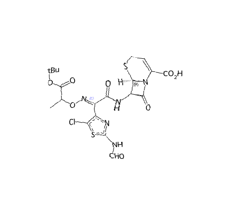 CC(O/N=C(/C(=O)NC1C(=O)N2C(C(=O)O)=CCS[C@H]12)c1nc(NC=O)sc1Cl)C(=O)OC(C)(C)C